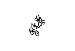 COc1cc2c(cc1O[Si](C(C)C)(C(C)C)C(C)C)C(C#N)(CCC1(c3ccoc3)OCCO1)C2